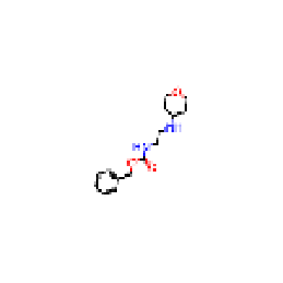 O=C(NCCNC1CCOCC1)OCc1ccccc1